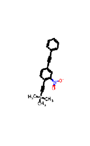 C[Si](C)(C)C#Cc1ccc(C#Cc2ccccc2)cc1[N+](=O)[O-]